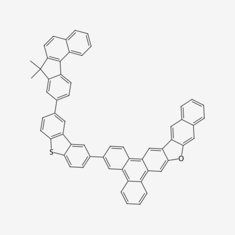 CC1(C)c2cc(-c3ccc4sc5ccc(-c6ccc7c(c6)c6ccccc6c6cc8oc9cc%10ccccc%10cc9c8cc76)cc5c4c3)ccc2-c2c1ccc1ccccc21